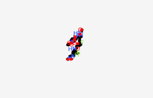 CC(=O)CNc1ncc(C#Cc2cc(CC(=O)Nc3ccc(CN4CCN(C(C)C)CC4)c(C(F)(F)F)c3)ccc2F)c(-c2cc3c(n2C)CCN(C(=O)OC(C)(C)C)C3=O)n1